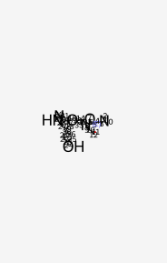 CN(C)C/C=C/C(=O)N(CC1CC1)[C@H]1C[C@@H](Oc2cc(-c3ccc(O)cc3)cc3[nH]ncc23)C1